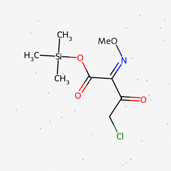 CON=C(C(=O)CCl)C(=O)O[Si](C)(C)C